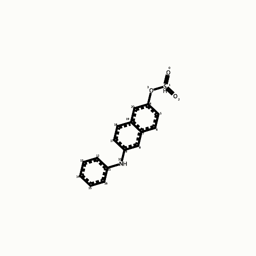 O=[SH](=O)Oc1ccc2cc(Nc3ccccc3)ccc2c1